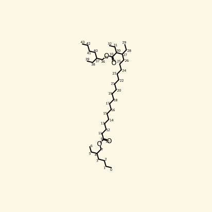 CCCCC(CC)COC(=O)CCCCCCCCCCCCCCCCC(CC)C(CC)C(=O)OCC(CC)CCCC